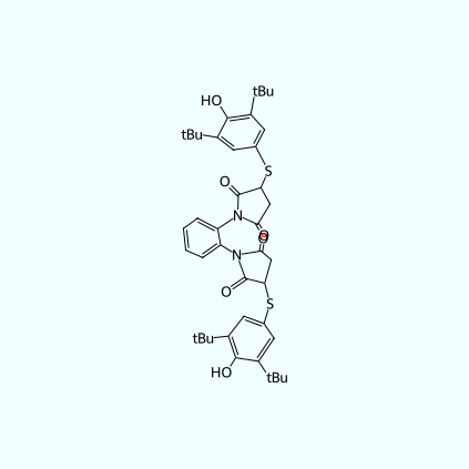 CC(C)(C)c1cc(SC2CC(=O)N(c3ccccc3N3C(=O)CC(Sc4cc(C(C)(C)C)c(O)c(C(C)(C)C)c4)C3=O)C2=O)cc(C(C)(C)C)c1O